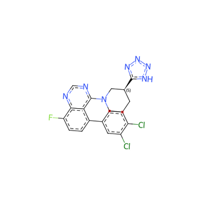 Fc1ccc(-c2ccc(Cl)c(Cl)c2)c2c(N3CCC[C@H](c4nnn[nH]4)C3)ncnc12